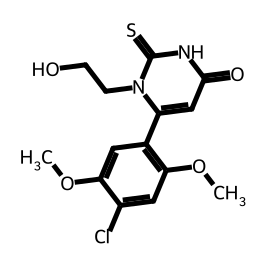 COc1cc(-c2cc(=O)[nH]c(=S)n2CCO)c(OC)cc1Cl